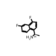 C[C@@H](N)c1ccc(F)c2cc(F)ccc12